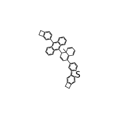 CC12C=CC=CC1=C(c1ccc3sc4cc5c(cc4c3c1)CC5)C=CC2c1c2ccccc2c(-c2ccc3c(c2)CC3)c2ccccc12